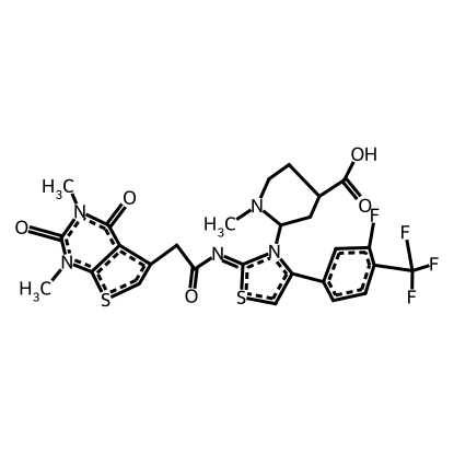 CN1CCC(C(=O)O)CC1n1c(-c2ccc(C(F)(F)F)c(F)c2)csc1=NC(=O)Cc1csc2c1c(=O)n(C)c(=O)n2C